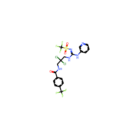 O=C(NCC(Cl)(Cl)CNC(=NS(=O)(=O)C(F)(F)F)Nc1cccnc1)c1ccc(C(F)(F)F)cc1